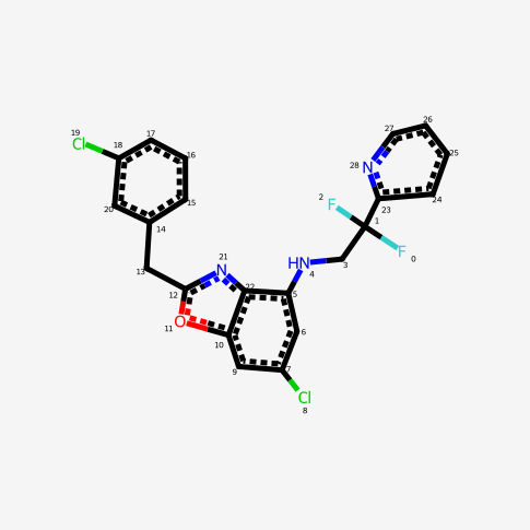 FC(F)(CNc1cc(Cl)cc2oc(Cc3cccc(Cl)c3)nc12)c1ccccn1